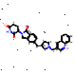 O=C1CCC(N2Cc3cc(C[C@H]4CCN(Cc5cnc6ccccc6c5)C4)ccc3C2=O)C(=O)N1